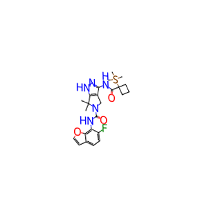 CC1(C)c2[nH]nc(NC(=O)C3(S(C)(C)C)CCC3)c2CN1C(=O)Nc1c(F)ccc2ccoc12